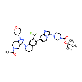 CC(=O)N1CCc2c(c(N3CCCc4cc(-c5ccn6c(N7CCN(C(=O)OC(C)(C)C)CC7)cnc6c5)c(C(F)F)cc43)nn2C2CCOCC2)C1